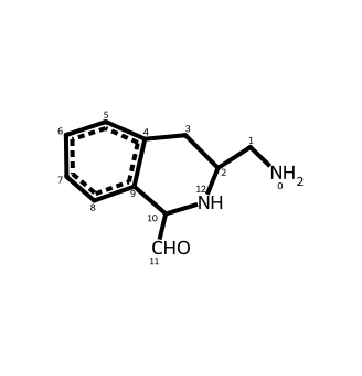 NCC1Cc2ccccc2C(C=O)N1